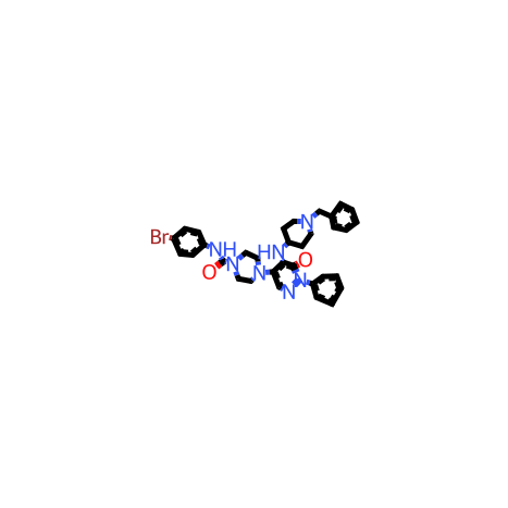 O=C(Nc1ccc(Br)cc1)N1CCN(c2cnn(-c3ccccc3)c(=O)c2NC2CCN(Cc3ccccc3)CC2)CC1